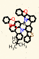 CC(C)(C)c1ccc(N2c3cc4c(cc3B3c5c(cc6sc7ccccc7c6c52)-c2cccc5c6oc7ccccc7c6n3c25)Oc2ccccc2O4)c(-c2ccccc2)c1